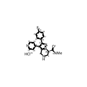 CNC(=O)[C@H]1CNCc2c(-c3ccncc3)c(-c3ccc(F)cc3)nn21.Cl